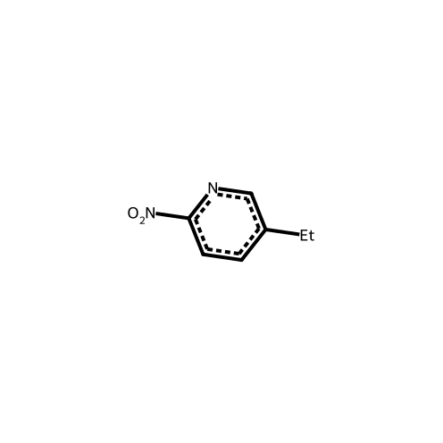 CCc1ccc([N+](=O)[O-])nc1